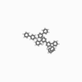 N#Cc1cc(-c2cccc3c2oc2cccc(N(c4ccc(-c5ccccc5)cc4)c4ccc(-c5ccccc5)cc4)c23)cc2c1C1(c3ccccc3-2)C2CC3CC(C2)CC1C3